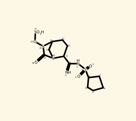 N=C(NS(=O)(=O)C1CCCC1)C1CCC2CN1C(=O)N2OS(=O)(=O)O